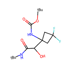 CC(C)(C)NC(=O)C(O)C1(NC(=O)OC(C)(C)C)CC(F)(F)C1